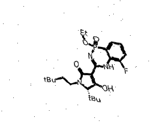 CCOP1(=O)N=C(C2=C(O)[C@H](C(C)(C)C)N(CCC(C)(C)C)C2=O)Nc2c(F)cccc21